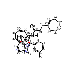 Cc1cccc(-c2n[nH]cc2C2=C\C=C\C3=C(NC(=O)CCC4=CCCOCC4)C=CCC=C3/C=C\2)n1